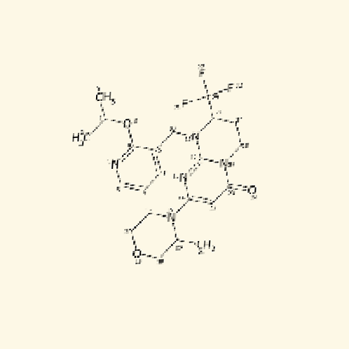 CC(C)Oc1ncccc1CN1c2nc(N3CCOCC3C)cc(=O)n2CCC1C(F)(F)F